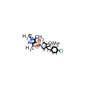 COCC1(Cc2ccc(Cl)cc2)CCN(S(=O)(=O)c2c(C)nn(C)c2C)CC1